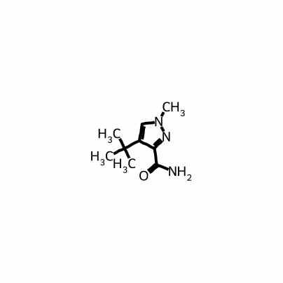 Cn1cc(C(C)(C)C)c(C(N)=O)n1